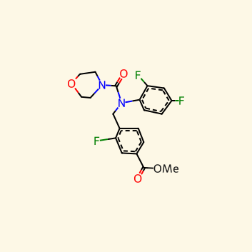 COC(=O)c1ccc(CN(C(=O)N2CCOCC2)c2ccc(F)cc2F)c(F)c1